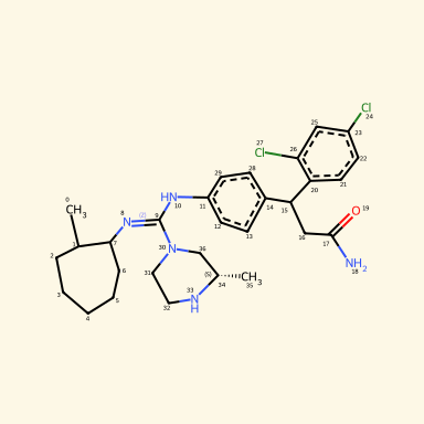 CC1CCCCCC1/N=C(/Nc1ccc(C(CC(N)=O)c2ccc(Cl)cc2Cl)cc1)N1CCN[C@@H](C)C1